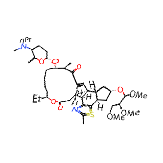 CCCN(C)[C@H]1CC[C@H](O[C@H]2CCC[C@H](CC)OC(=O)C[C@@H]3C(=C[C@H]4[C@@H]5C[C@H](OC(OC)[C@H](COC)OC)C[C@H]5c5sc(C)nc5[C@H]43)C(=O)[C@@H]2C)OC1C